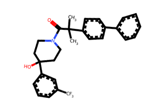 CC(C)(C(=O)N1CCC(O)(c2cccc(C(F)(F)F)c2)CC1)c1ccc(-c2ccccc2)cc1